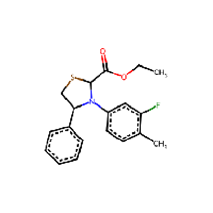 CCOC(=O)C1SCC(c2ccccc2)N1c1ccc(C)c(F)c1